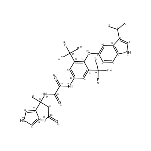 CC(C)c1c[nH]c2ccc(Oc3c(C(F)(F)F)cc(NC(=O)C(=O)NC(C)(CC(=O)O)c4c[nH]cn4)cc3C(F)(F)F)cc12